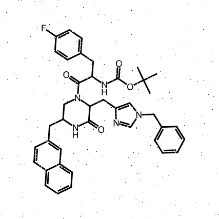 CC(C)(C)OC(=O)NC(Cc1ccc(F)cc1)C(=O)N1CC(Cc2ccc3ccccc3c2)NC(=O)C1Cc1cn(Cc2ccccc2)cn1